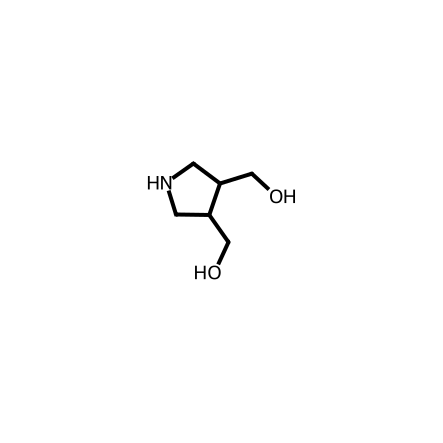 OCC1CNCC1CO